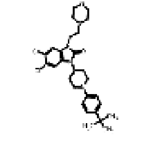 CC(C)(C)c1ccc(N2CCC(n3c(=O)n(CCN4CCOCC4)c4cc(Cl)c(Cl)cc43)CC2)cc1